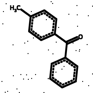 Cc1ccc(C(=O)c2c[c]ccc2)cc1